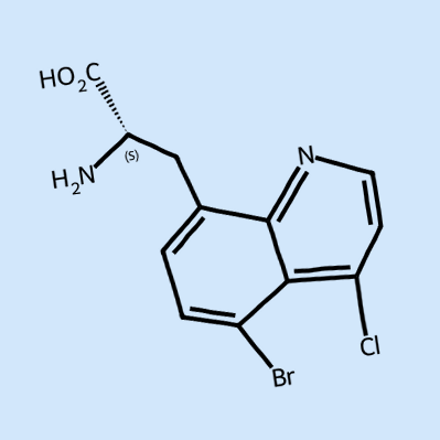 N[C@@H](Cc1ccc(Br)c2c(Cl)ccnc12)C(=O)O